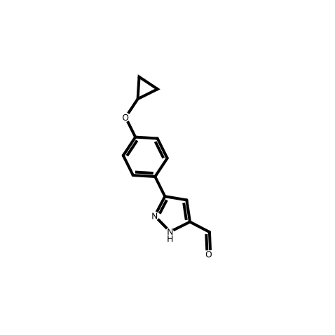 O=Cc1cc(-c2ccc(OC3CC3)cc2)n[nH]1